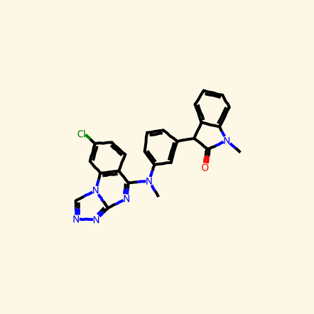 CN1C(=O)C(c2cccc(N(C)c3nc4nncn4c4cc(Cl)ccc34)c2)c2ccccc21